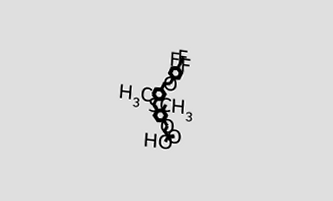 Cc1cc(COc2ccc(C(F)(F)F)cc2)ccc1Sc1ccc(OCC(=O)O)cc1C